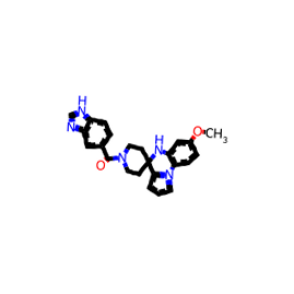 COc1ccc2c(c1)NC1(CCN(C(=O)c3ccc4[nH]cnc4c3)CC1)c1cccn1-2